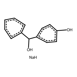 Oc1ccc(C(O)c2ccccc2)cc1.[NaH]